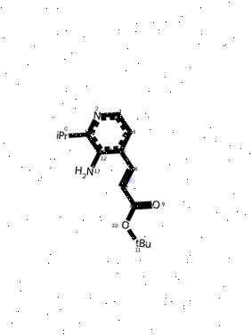 CC(C)c1nccc(/C=C/C(=O)OC(C)(C)C)c1N